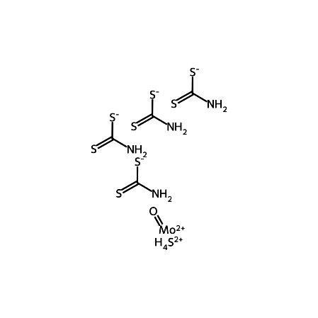 NC(=S)[S-].NC(=S)[S-].NC(=S)[S-].NC(=S)[S-].[O]=[Mo+2].[SH4+2]